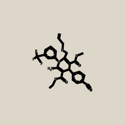 C=CCOCC1=C(C(=O)OC)C(c2ccc(C#N)cc2)C(C(=O)OCC)=C(N)N1c1cccc(C(F)(F)F)c1